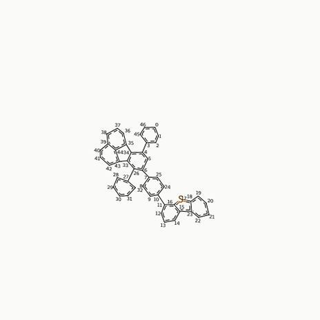 c1ccc(-c2cc(-c3ccc(-c4cccc5c4sc4ccccc45)cc3)c(-c3ccccc3)c3c2-c2cccc4cccc-3c24)cc1